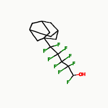 OC(F)C(F)(F)C(F)(F)C(F)(F)C(F)(F)C12CC3CC(CC(C3)C1)C2